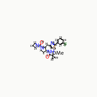 COC1(C(=O)N[C@H]2CCN(C(=O)N3CCC3)[C@H]2Cc2csc(-c3cccc(F)c3)n2)CC1